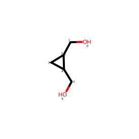 OC[C]1CC1CO